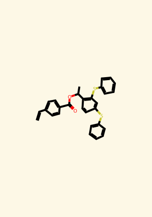 C=Cc1ccc(C(=O)OC(C)c2ccc(Sc3ccccc3)cc2Sc2ccccc2)cc1